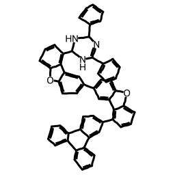 c1ccc(C2=NC(c3ccccc3)NC(c3cccc4oc5ccc(-c6ccc7oc8cccc(-c9ccc%10c%11ccccc%11c%11ccccc%11c%10c9)c8c7c6)cc5c34)N2)cc1